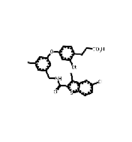 CCc1cc(Oc2cc(C)cc(CNC(=O)c3sc4ccc(Cl)cc4c3C)c2)ccc1CCC(=O)O